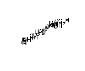 O=C(CC[C@H](NCO)C(=O)O)NCCOCCOCC(=O)NCCOCCOCC(=O)NCCCC[C@H](NF)C(=O)I